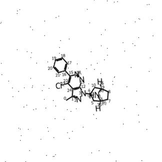 Cc1nn([C@@H]2C[C@H]3CC[C@@H](C2)N3)c2nnc(-c3ccccc3)c(Cl)c12